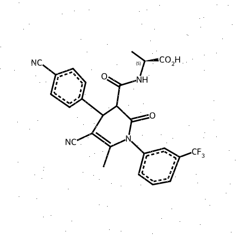 CC1=C(C#N)C(c2ccc(C#N)cc2)C(C(=O)N[C@@H](C)C(=O)O)C(=O)N1c1cccc(C(F)(F)F)c1